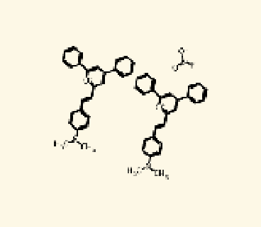 CN(C)c1ccc(C=Cc2cc(-c3ccccc3)cc(-c3ccccc3)[o+]2)cc1.CN(C)c1ccc(C=Cc2cc(-c3ccccc3)cc(-c3ccccc3)[o+]2)cc1.[O-]B([O-])F